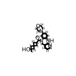 CC1(O)CC2(CC(C(=O)N3Cc4cccnc4Nc4ccc(N5CCOCC5)cc43)C2)C1